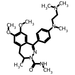 CNC(=O)N1N=C(c2ccc(N(C)CCN(C)C)cc2)c2cc(OC)c(OC)cc2CC1C